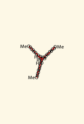 COCCOCCOCCOCCOCCOCCOCCOCCNC(=O)CCOCC(COCCC(=O)NCCOCCOCCOCCOCCOCCOCCOCCOC)(COCCC(=O)NCCOCCOCCOCCOCCOCCOCCOCCOC)C(C)C